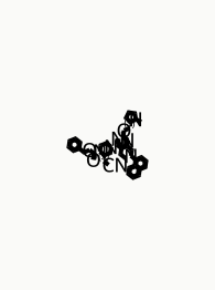 CN1CCC[C@H]1COc1nc2c(c(N3CCN(C(=O)OCc4ccccc4)[C@@H](CC#N)C3)n1)CCN(c1cccc3ccccc13)C2